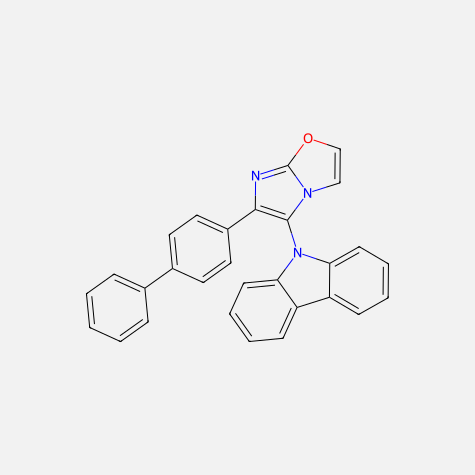 c1ccc(-c2ccc(-c3nc4occn4c3-n3c4ccccc4c4ccccc43)cc2)cc1